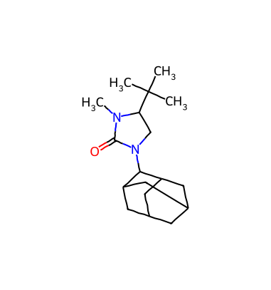 CN1C(=O)N(C2C3CC4CC(C3)CC2C4)CC1C(C)(C)C